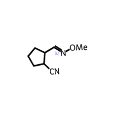 CO/N=C/C1CCCC1C#N